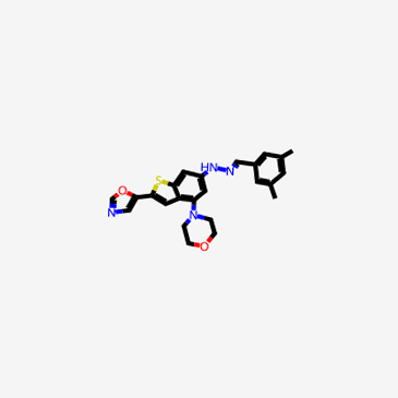 Cc1cc(C)cc(/C=N/Nc2cc(N3CCOCC3)c3cc(-c4cnco4)sc3c2)c1